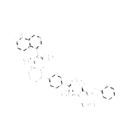 C[C@@H](N[C@H]1CCC[C@H](c2ccc(C(=O)N[C@@H](CO)C(=O)OCc3ccccc3)cc2)C1)c1cccc2ccccc12